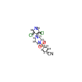 N#Cc1ccc(S(=O)(=O)N2CCCN(c3c(Cl)cncc3Cl)CC2)cc1